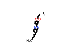 CCCCCCC1CCc2nc(-c3ccc(OC(=O)CCCC)cc3)ncc2C1